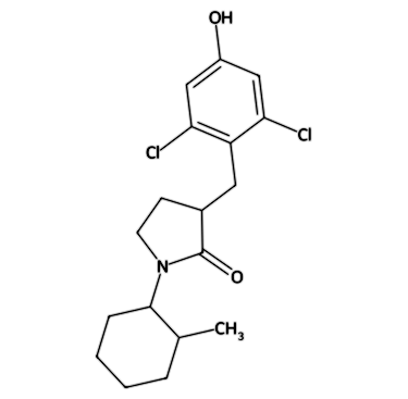 CC1CCCCC1N1CCC(Cc2c(Cl)cc(O)cc2Cl)C1=O